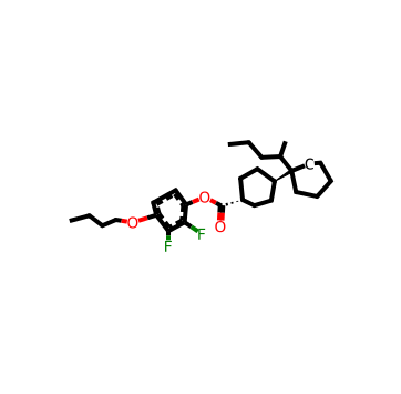 CCCCOc1ccc(OC(=O)[C@H]2CC[C@H](C3(C(C)CCC)CCCCC3)CC2)c(F)c1F